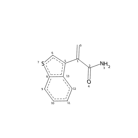 C=C(C(N)=O)c1csc2ccccc12